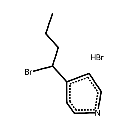 Br.CCCC(Br)c1ccncc1